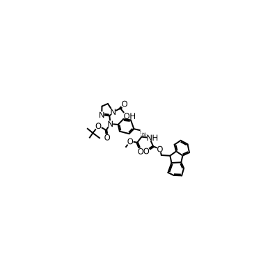 COC(=O)[C@H](Cc1ccc(N(C(=O)OC(C)(C)C)C2=NCCN2C(=O)O)cc1)NC(=O)OCC1c2ccccc2-c2ccccc21